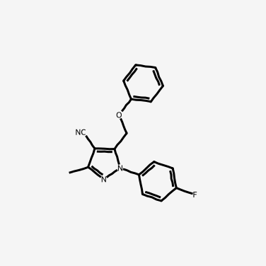 Cc1nn(-c2ccc(F)cc2)c(COc2ccccc2)c1C#N